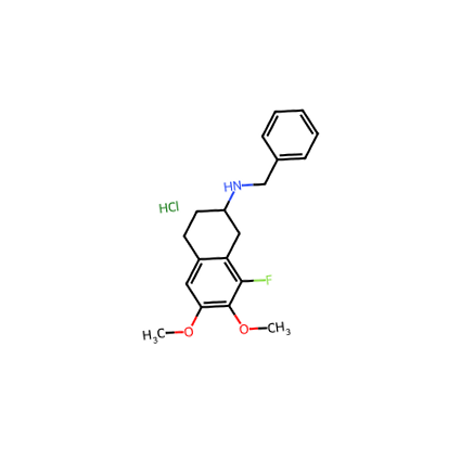 COc1cc2c(c(F)c1OC)CC(NCc1ccccc1)CC2.Cl